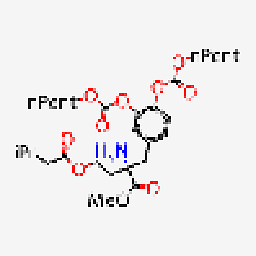 CCCCCOC(=O)Oc1ccc(C[C@](N)(CCOC(=O)CC(C)C)C(=O)OC)cc1OC(=O)OCCCCC